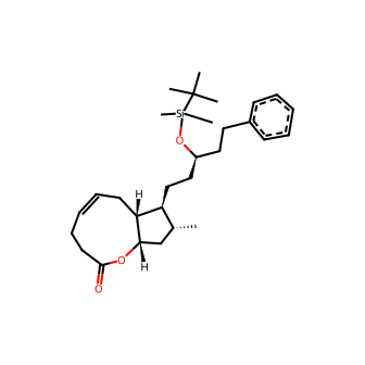 C[C@@H]1C[C@@H]2OC(=O)CC/C=C\C[C@@H]2[C@H]1CC[C@H](CCc1ccccc1)O[Si](C)(C)C(C)(C)C